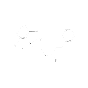 CCN(CCCC(C#N)(c1c(Br)cccc1Br)C(C)C)CCc1ccccc1